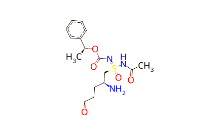 CC(=O)N[S@@](=O)(C[C@@H](N)CCC=O)=NC(=O)O[C@@H](C)c1ccccc1